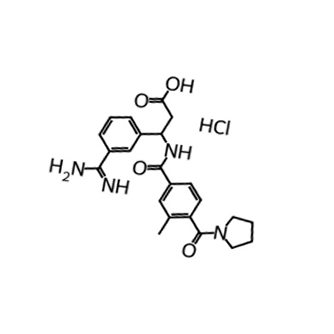 Cc1cc(C(=O)NC(CC(=O)O)c2cccc(C(=N)N)c2)ccc1C(=O)N1CCCC1.Cl